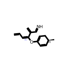 C=C/C=C(/OC1=CC[C@@H](C)C=C1)C(=C)C=N